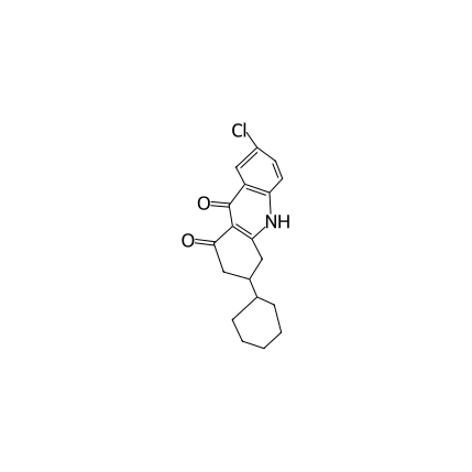 O=C1CC(C2CCCCC2)Cc2[nH]c3ccc(Cl)cc3c(=O)c21